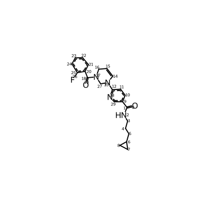 O=C(NCCCC1CC1)c1ccc(N2C=CCN(C(=O)c3ccccc3F)C2)nc1